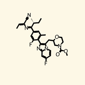 C/C=C(C#N)\N=C(\c1cc(C)c(-c2nc3cc(F)ccn3c2CC2CN(C(=O)OC)CCO2)c(F)c1)[C@H](C)CC